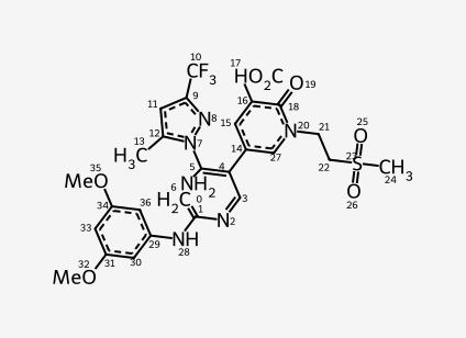 C=C(/N=C\C(=C(/N)n1nc(C(F)(F)F)cc1C)c1cc(C(=O)O)c(=O)n(CCS(C)(=O)=O)c1)Nc1cc(OC)cc(OC)c1